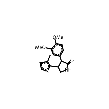 COc1ccc(C2C(=O)NCC2c2sccc2C)cc1OC